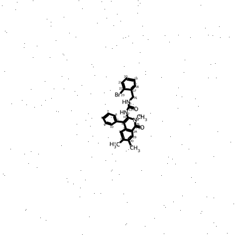 Cc1cc2c(-c3ccccc3)c(NC(=O)NCc3ccccc3Br)n(C)c(=O)c2cc1C